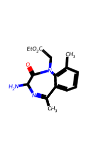 CCOC(=O)CN1C(=O)C(N)N=C(C)c2cccc(C)c21